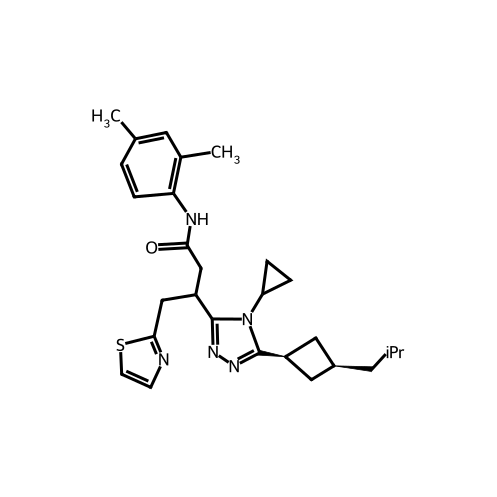 Cc1ccc(NC(=O)CC(Cc2nccs2)c2nnc([C@H]3C[C@@H](CC(C)C)C3)n2C2CC2)c(C)c1